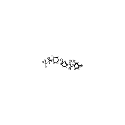 C[C@@H]1C[C@H](Oc2cccc(NC(=O)c3ccc(F)cc3Cl)c2)CCN1C(=O)OC(C)(C)C